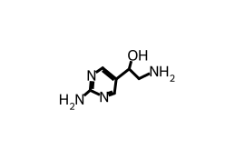 NCC(O)c1cnc(N)nc1